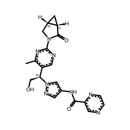 Cc1nc(N2C[C@@H]3C[C@@H]3C2=O)ncc1[C@H](CO)n1cc(NC(=O)c2cnccn2)cn1